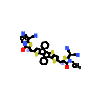 CCn1c(=C(C#N)C#N)s/c(=C\c2cc3c(s2)C2=C(c4sc5cc(/C=c6\sc(=C(C#N)C#N)n(CC)c6=O)sc5c4C24CCCCC4)C32CCCCC2)c1=O